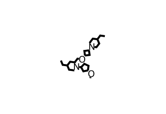 CCC1CCN(C2CC(OCC3CC(CC)CCN3C3CCC(OC)C3)C2)CC1